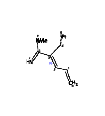 C=C/C=C(\CC(C)C)C(=N)NC